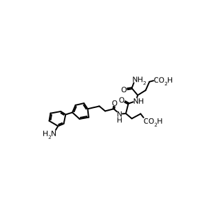 NC(=O)C(CCC(=O)O)NC(=O)C(CCC(=O)O)NC(=O)CCc1ccc(-c2cccc(N)c2)cc1